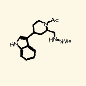 CNNCC1CC(c2c[nH]c3ccccc23)CCN1C(C)=O